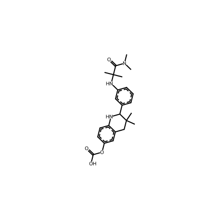 CN(C)C(=O)C(C)(C)Nc1cccc(C2Nc3ccc(OC(=O)O)cc3CC2(C)C)c1